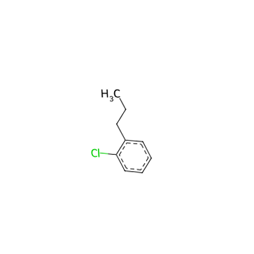 CCCc1ccccc1Cl